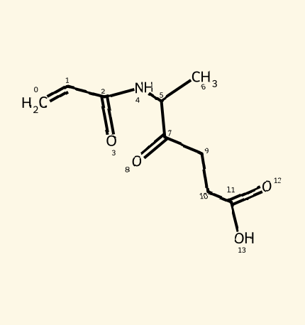 C=CC(=O)NC(C)C(=O)CCC(=O)O